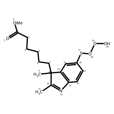 COC(=O)CCCCCC1(C)C(C)=Nc2ccc(SOOO)cc21